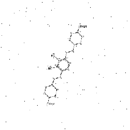 CCCCCCCC1CCC(CCc2ccc(CCC3CCC(CCCCCCC)CC3)c(C#N)c2C#N)CC1